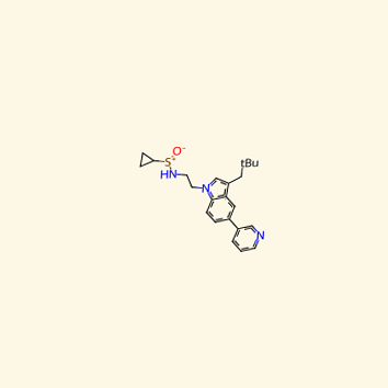 CC(C)(C)Cc1cn(CCN[S+]([O-])C2CC2)c2ccc(-c3cccnc3)cc12